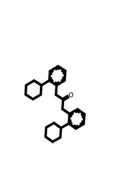 O=C(Cc1ccccc1C1CCCCC1)Cc1ccccc1C1CCCCC1